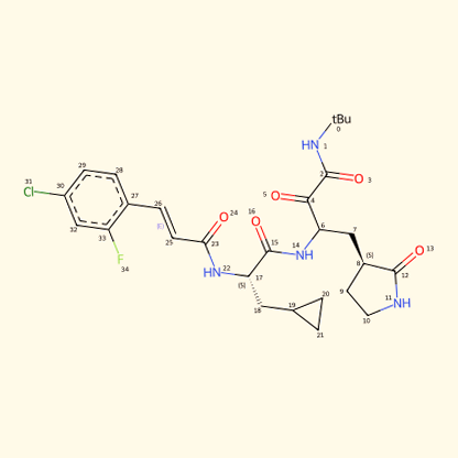 CC(C)(C)NC(=O)C(=O)C(C[C@@H]1CCNC1=O)NC(=O)[C@H](CC1CC1)NC(=O)/C=C/c1ccc(Cl)cc1F